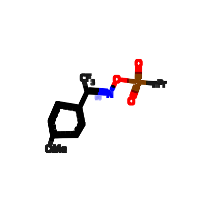 CCCS(=O)(=O)O/N=C(/c1ccc(OC)cc1)C(F)(F)F